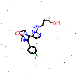 C[C@@H](CO)CCNc1nccc(-c2c(-c3ccc(F)cc3)nc3occn23)n1